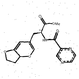 COC(=O)[C@H](CC1=COC2CCOC2=C1)NC(=O)c1cnccn1